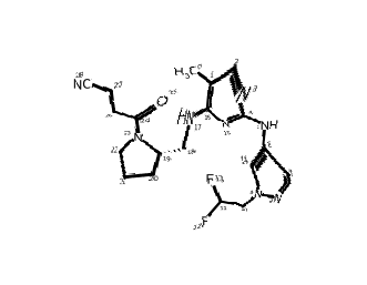 Cc1cnc(Nc2cnn(CC(F)F)c2)nc1NC[C@@H]1CCCN1C(=O)CCC#N